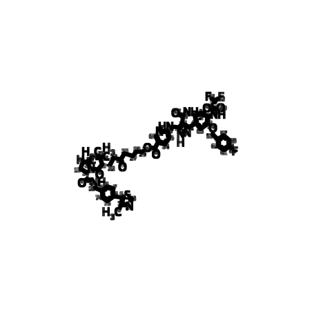 Cc1ncsc1-c1ccc(CNC(=O)[C@@H]2CCCN2C(=O)[C@@H](CCC(=O)CCCCOC(=O)c2ccc(Nc3[nH]nc(-c4ccc(NS(=O)(=O)C(F)F)c(OCc5ccc(F)cc5)c4)c3C(N)=O)nc2)C(C)(C)C)cc1